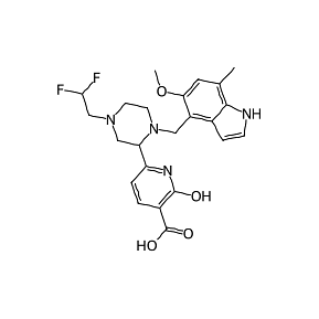 COc1cc(C)c2[nH]ccc2c1CN1CCN(CC(F)F)CC1c1ccc(C(=O)O)c(O)n1